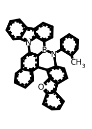 Cc1ccccc1N1B2c3c(cc4ccccc4c3-c3c1ccc1c3oc3ccccc31)-n1c3ccccc3c3cccc2c31